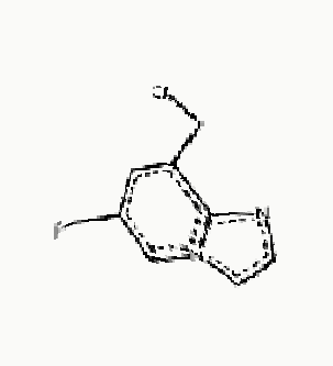 Fc1cc(CCl)c2nccn2c1